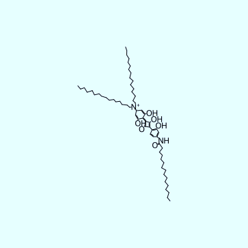 CCCCCCCCCCCCCCCC[N+](CCCCCCCCCCCCCCCC)=C1C=C(O)C(=C2C(=O)C(c3ccc(NC(=O)CCCCCCCCCCCCCCC)cc3O)=C2O)C(O)=C1